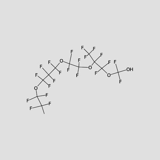 CC(F)(F)C(F)(F)OC(F)(F)C(F)(F)C(F)(F)OC(F)(F)C(F)(F)OC(F)(C(F)(F)F)C(F)(F)OC(O)(F)F